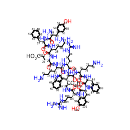 N=C(N)NCCC[C@H](NC(=O)[C@@H](CCCCN)NC(=O)[C@H](CCC(=O)O)NC(=O)[C@H](CCCCN)NC(=O)[C@H](Cc1ccccc1)NC(=O)[C@H](N)Cc1ccc(O)cc1)C(=O)N[C@H](Cc1c[nH]c2ccccc12)C(=O)N[C@@H](CCCCN)C(=O)N[C@H](Cc1ccccc1)C(=O)N[C@@H](Cc1ccc(O)cc1)C(=O)N[C@H](CCCNC(=N)N)C(=O)NCC(=O)O